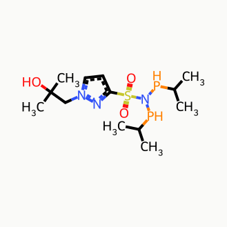 CC(C)PN(PC(C)C)S(=O)(=O)c1ccn(CC(C)(C)O)n1